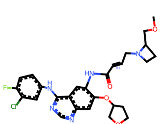 COCC1CCN1C/C=C/C(=O)Nc1cc2c(Nc3ccc(F)c(Cl)c3)ncnc2cc1OC1CCOC1